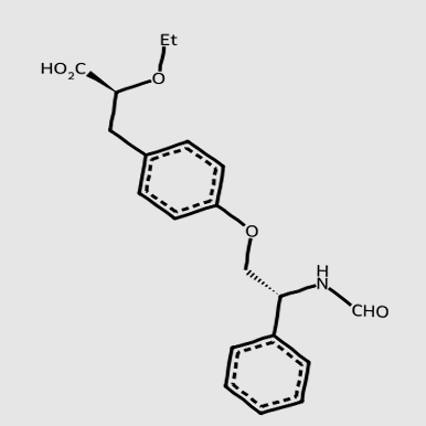 CCO[C@@H](Cc1ccc(OC[C@H](NC=O)c2ccccc2)cc1)C(=O)O